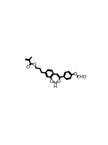 C=C(C)C(=O)OCCCc1ccc2cc(-c3ccc(OC=O)cc3)o[nH]oc2c1